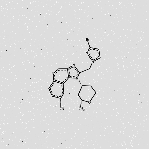 C[C@@H]1C[C@H](n2c(Cn3ccc(Br)n3)nc3cnc4ccc(C#N)cc4c32)CCO1